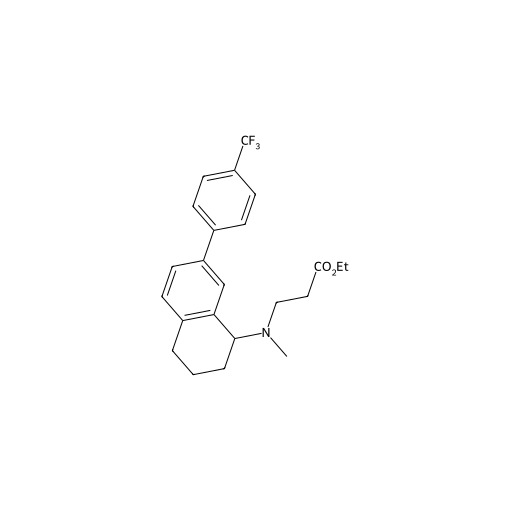 CCOC(=O)CCN(C)C1CCCc2ccc(-c3ccc(C(F)(F)F)cc3)cc21